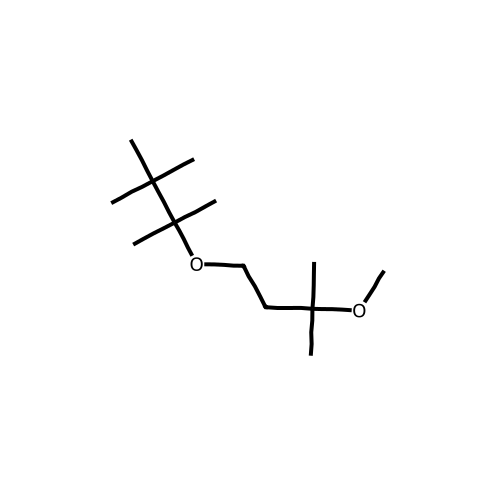 COC(C)(C)CCOC(C)(C)C(C)(C)C